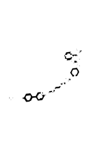 COc1ccc(-c2ccc(OCCCCCCNC[C@H]3CC[C@@H](Nc4nc(N(C)C)c5ccccc5n4)CC3)cc2)cc1